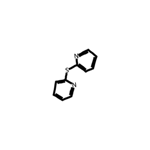 c1ccc(Sc2ccccn2)nc1